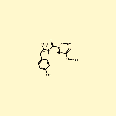 CC(C)C[C@H](NC(=O)OC(C)(C)C)C(=O)N[C@@H](Cc1ccc(O)cc1)C(=O)O